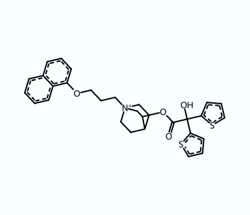 O=C(OC1C[N+]2(CCCOc3cccc4ccccc34)CCC1CC2)C(O)(c1cccs1)c1cccs1